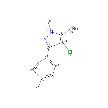 Cc1ccc(-c2nn(C)c(C(C)(C)C)c2Cl)cc1